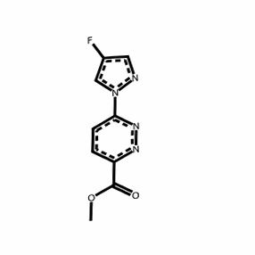 COC(=O)c1ccc(-n2cc(F)cn2)nn1